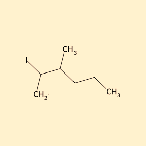 [CH2]C(I)C(C)CCC